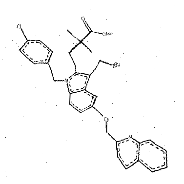 COC(=O)C(C)(C)Cc1c(CC(C)(C)C)c2cc(OCc3ccc4ccccc4n3)ccc2n1Cc1ccc(Cl)cc1